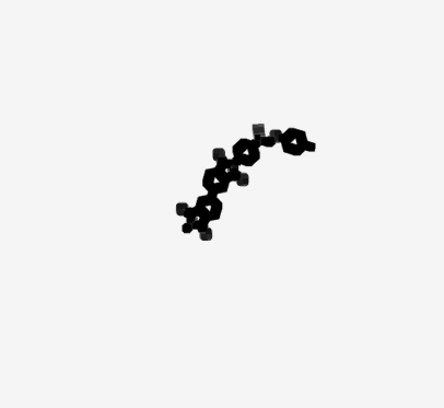 Cc1ccc(OCNc2ccc(N3C(=O)c4ccc(-c5ccc6c(c5)C(=O)N(C)C6=O)cc4C3=O)cc2)cc1